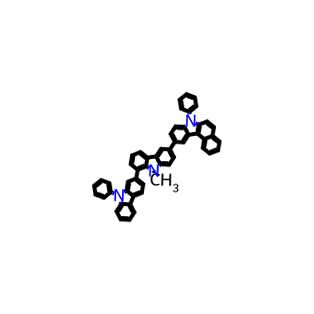 Cn1c2ccc(-c3ccc4c(c3)c3c5ccccc5ccc3n4-c3ccccc3)cc2c2cccc(-c3ccc4c5ccccc5n(-c5ccccc5)c4c3)c21